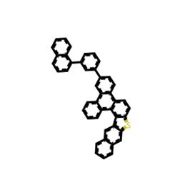 c1cc(-c2ccc3c(c2)c2ccccc2c2c3ccc3sc4cc5ccccc5cc4c32)cc(-c2cccc3ccccc23)c1